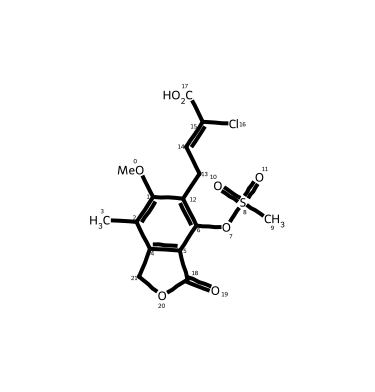 COc1c(C)c2c(c(OS(C)(=O)=O)c1CC=C(Cl)C(=O)O)C(=O)OC2